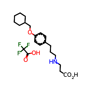 O=C(O)C(F)(F)F.O=C(O)CCNCCCc1ccc(OCC2CCCCC2)cc1